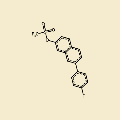 O=S(=O)(Oc1ccc2ccc(-c3ccc(F)cc3)cc2c1)C(F)(F)F